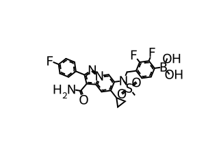 CS(=O)(=O)N(Cc1ccc(B(O)O)c(F)c1F)c1cn2nc(-c3ccc(F)cc3)c(C(N)=O)c2cc1C1CC1